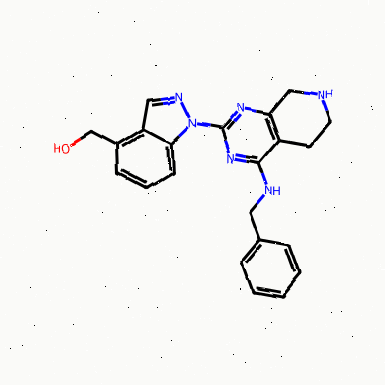 OCc1cccc2c1cnn2-c1nc2c(c(NCc3ccccc3)n1)CCNC2